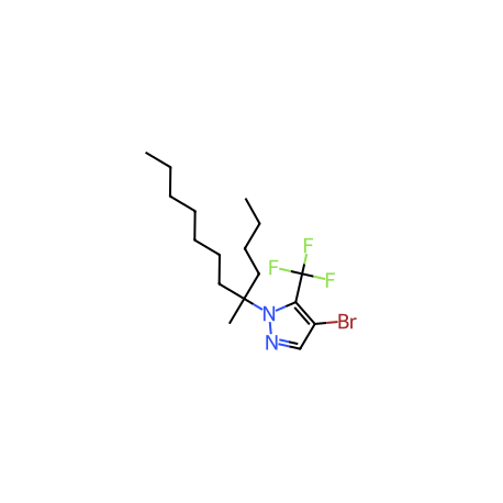 CCCCCCCC(C)(CCCC)n1ncc(Br)c1C(F)(F)F